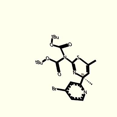 CC1=C[C@@](C)(c2cc(Br)ccn2)N=C(N(C(=O)OC(C)(C)C)C(=O)OC(C)(C)C)S1